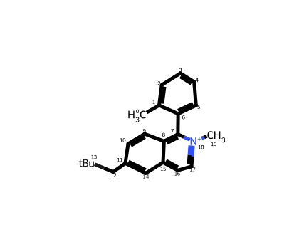 Cc1ccccc1-c1c2ccc(CC(C)(C)C)cc2cc[n+]1C